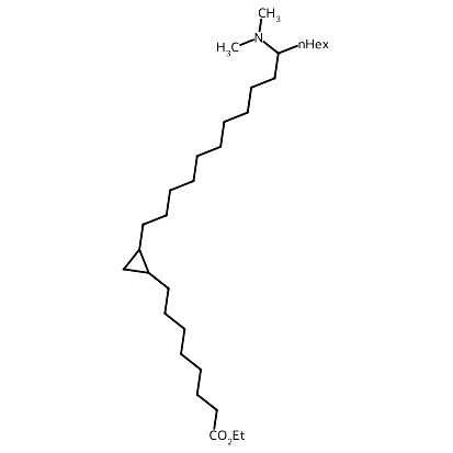 CCCCCCC(CCCCCCCCCCC1CC1CCCCCCCC(=O)OCC)N(C)C